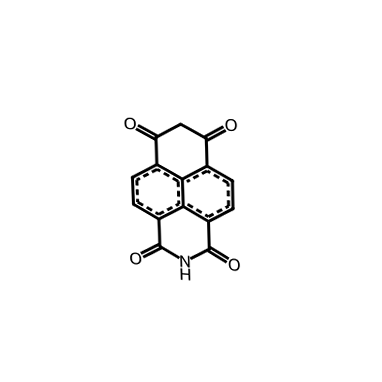 O=C1CC(=O)c2ccc3c4c(ccc1c24)C(=O)NC3=O